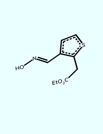 CCOC(=O)Cc1sccc1C=NO